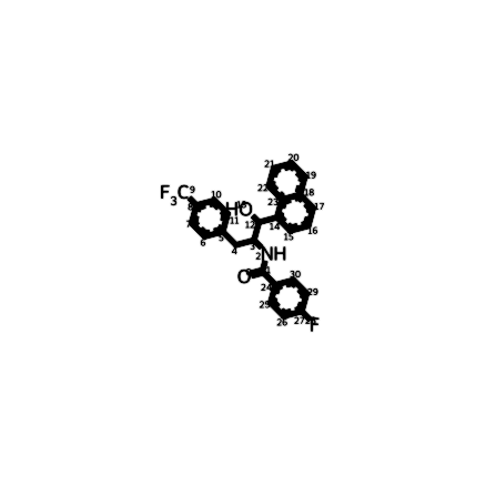 O=C(NC(Cc1ccc(C(F)(F)F)cc1)C(O)c1cccc2ccccc12)c1ccc(F)cc1